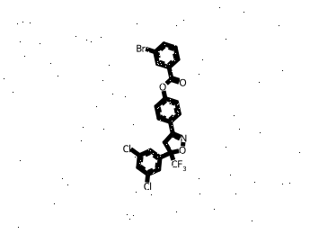 O=C(Oc1ccc(C2=NOC(c3cc(Cl)cc(Cl)c3)(C(F)(F)F)C2)cc1)c1cccc(Br)c1